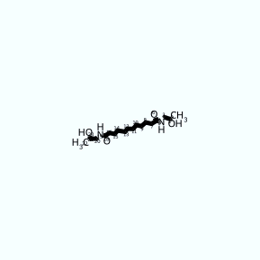 CC(O)CNC(=O)CCCCCCCCCCC(=O)NCC(C)O